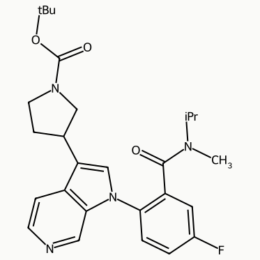 CC(C)N(C)C(=O)c1cc(F)ccc1-n1cc(C2CCN(C(=O)OC(C)(C)C)C2)c2ccncc21